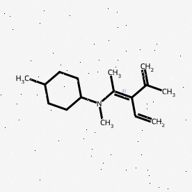 C=C/C(C(=C)C)=C(/C)N(C)C1CCC(C)CC1